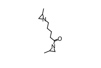 CC1CN1CCCCC(=O)N1CC1C